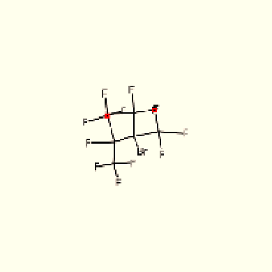 FC(F)(F)C(F)(C(F)(F)F)C(Br)(C(F)(F)F)C(F)(F)F